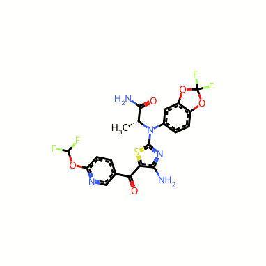 C[C@H](C(N)=O)N(c1ccc2c(c1)OC(F)(F)O2)c1nc(N)c(C(=O)c2ccc(OC(F)F)nc2)s1